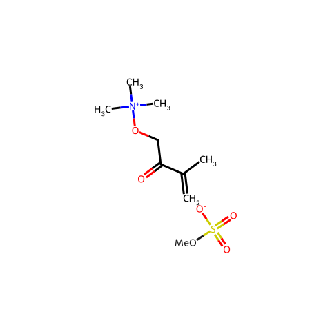 C=C(C)C(=O)CO[N+](C)(C)C.COS(=O)(=O)[O-]